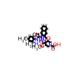 COC(=O)C1(NC(=O)c2cc3ccccc3cc2NC(=O)Nc2c(C)cc(C)cc2C)CCN(C(=O)O)CC1